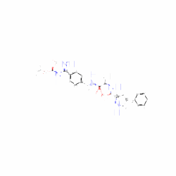 C[C@H](NC(=O)[C@H]1C[C@H](c2ccccc2)CN1)C(=O)NCc1ccc(C(=N)NC(=O)OCC(F)(F)F)cc1